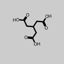 O=C(O)CC(CC(=O)O)CC(=O)O